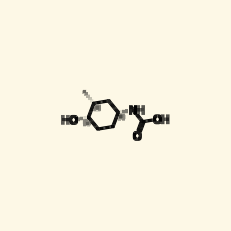 C[C@@H]1C[C@H](NC(=O)O)CC[C@@H]1O